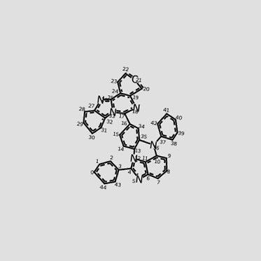 c1ccc(-c2nc3cccc4c3n2-c2ccc(-c3nc5ccccc5c5nc6ccccc6n35)cc2N4c2ccccc2)cc1